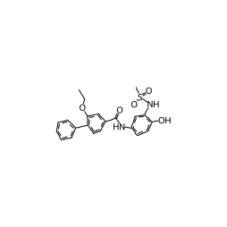 CCOc1cc(C(=O)Nc2ccc(O)c(NS(C)(=O)=O)c2)ccc1-c1ccccc1